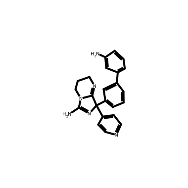 NC1=NC(c2ccncc2)(c2cccc(-c3cccc(N)c3)c2)C2=NCCCN12